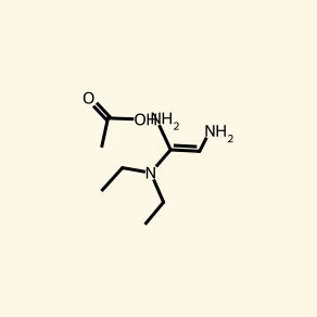 CC(=O)O.CCN(CC)/C(N)=C/N